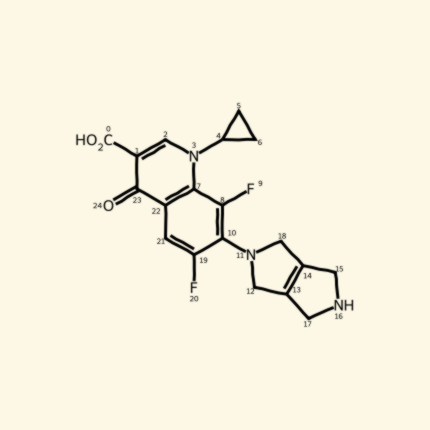 O=C(O)c1cn(C2CC2)c2c(F)c(N3CC4=C(CNC4)C3)c(F)cc2c1=O